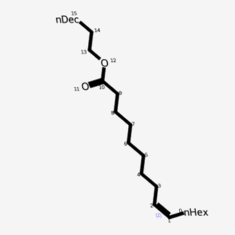 CCCCCC/C=C\CCCCCCCC(=O)OCCCCCCCCCCCC